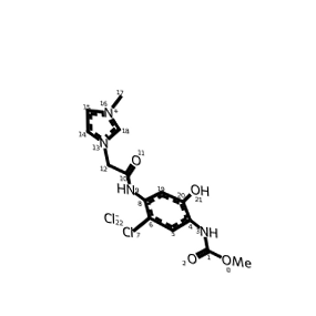 COC(=O)Nc1cc(Cl)c(NC(=O)Cn2cc[n+](C)c2)cc1O.[Cl-]